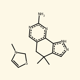 CC1(C)Cc2cnc(N)nc2-c2[nH]ncc21.CN1C=CSC1